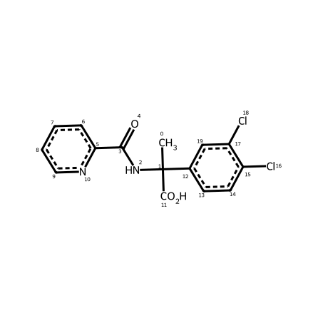 CC(NC(=O)c1ccccn1)(C(=O)O)c1ccc(Cl)c(Cl)c1